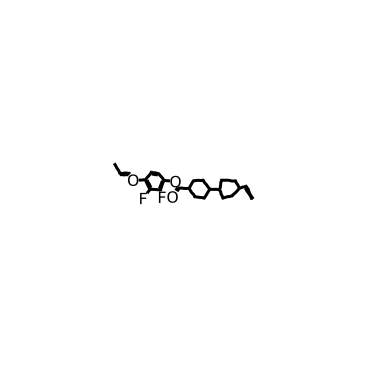 C=CC1CCC(C2CCC(C(=O)Oc3ccc(O/C=C/C)c(F)c3F)CC2)CC1